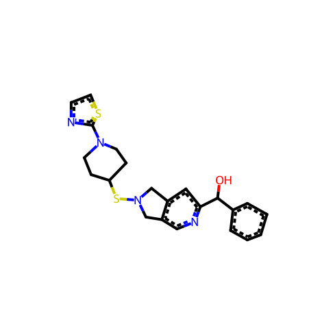 OC(c1ccccc1)c1cc2c(cn1)CN(SC1CCN(c3nccs3)CC1)C2